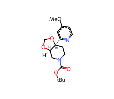 COc1ccnc([C@]23CCN(C(=O)OC(C)(C)C)C[C@H]2OCO3)c1